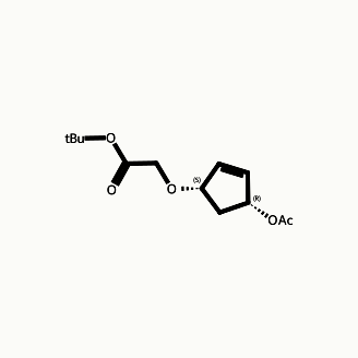 CC(=O)O[C@H]1C=C[C@@H](OCC(=O)OC(C)(C)C)C1